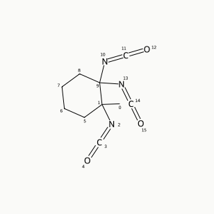 CC1(N=C=O)CCCCC1(N=C=O)N=C=O